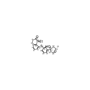 CCN1C(=O)CCc2cccc(Sc3cccc([C@@]4(O)CCO[C@@H](C)C4)c3)c21